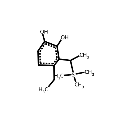 CCc1ccc(O)c(O)c1C(C)[Si](C)(C)C